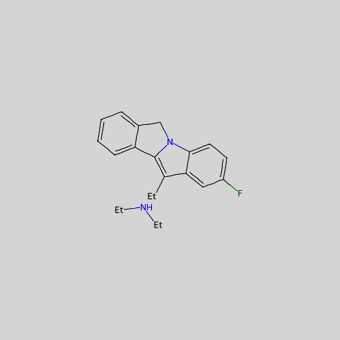 CCNCC.CCc1c2n(c3ccc(F)cc13)Cc1ccccc1-2